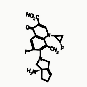 Cc1c(N2CC3=CCC[C@@]3(N)C2)c(F)cc2c(=O)c(C(=O)O)cn([C@@H]3C[C@@H]3F)c12